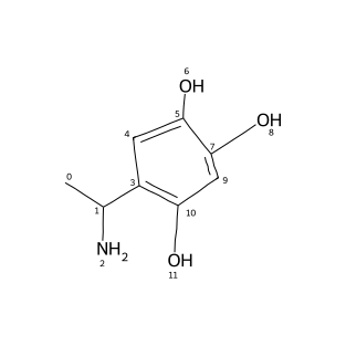 CC(N)c1cc(O)c(O)cc1O